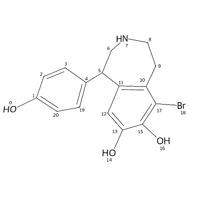 Oc1ccc(C2CNCCc3c2cc(O)c(O)c3Br)cc1